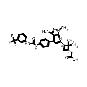 Cn1nc(N)c2c(-c3ccc(NC(=O)Nc4cccc(C(F)(F)F)c4)cc3)cc([C@H]3C[C@@H](CC(=O)O)C3(C)C)nc21